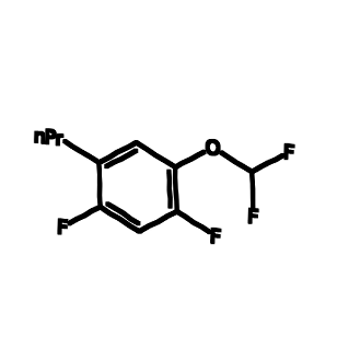 [CH2]CCc1cc(OC(F)F)c(F)cc1F